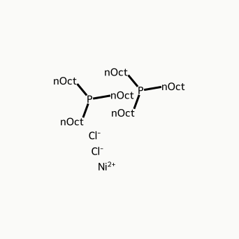 CCCCCCCCP(CCCCCCCC)CCCCCCCC.CCCCCCCCP(CCCCCCCC)CCCCCCCC.[Cl-].[Cl-].[Ni+2]